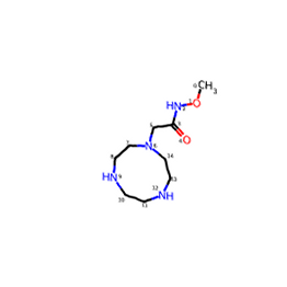 CONC(=O)CN1CCNCCNCC1